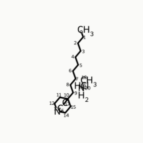 CCCCCCCCCCC12CCN(CC1)CC2.CN.Cl